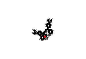 CCN(CC)c1ccc(C(=CC=CC(O[Cl+3]([O-])([O-])[O-])(c2ccccc2)c2ccc(N(CC)CC)cc2)c2ccccc2)cc1